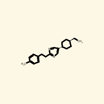 CC[C@H]1CC[C@H](c2cnc(CCc3ccc(C)cc3)nc2)CC1